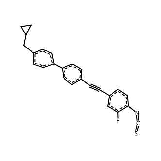 Fc1cc(C#Cc2ccc(-c3ccc(CC4CC4)cc3)cc2)ccc1N=C=S